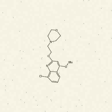 CC(C)(C)Oc1cc(OCCN2CCOCC2)nc2c(Cl)cccc12